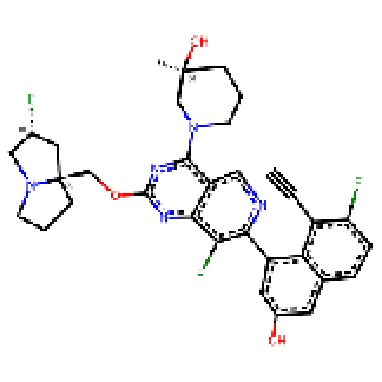 C#Cc1c(F)ccc2cc(O)cc(-c3ncc4c(N5CCC[C@](C)(O)C5)nc(OC[C@@]56CCCN5C[C@H](F)C6)nc4c3F)c12